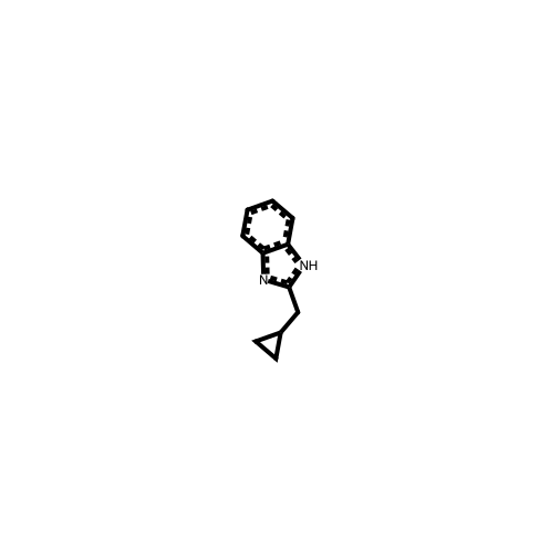 c1ccc2[nH]c(CC3CC3)nc2c1